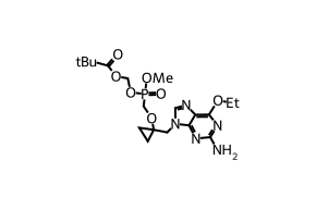 [CH2]OP(=O)(COC1(Cn2cnc3c(OCC)nc(N)nc32)CC1)OCOC(=O)C(C)(C)C